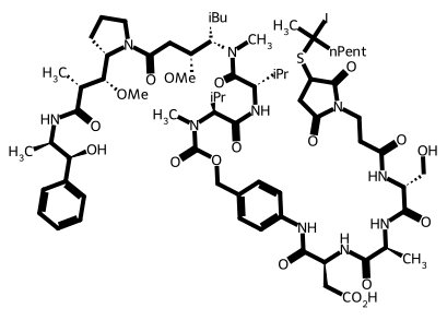 CCCCCC(C)(I)SC1CC(=O)N(CCC(=O)N[C@H](CO)C(=O)N[C@@H](C)C(=O)N[C@@H](CC(=O)O)C(=O)Nc2ccc(COC(=O)N(C)[C@H](C(=O)N[C@H](C(=O)N(C)[C@@H]([C@@H](C)CC)[C@@H](CC(=O)N3CCC[C@H]3[C@H](OC)[C@@H](C)C(=O)N[C@H](C)[C@@H](O)c3ccccc3)OC)C(C)C)C(C)C)cc2)C1=O